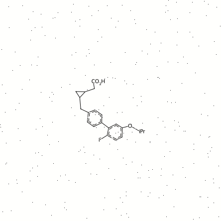 CC(C)Oc1ccc(F)c(-c2ccc(CC3CC3CC(=O)O)cc2)c1